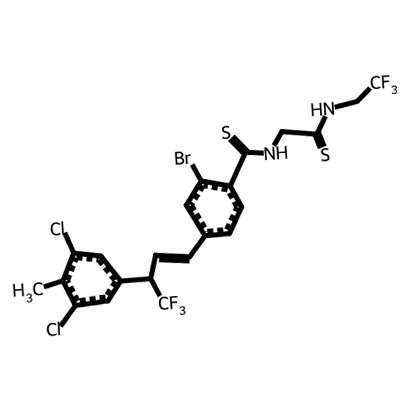 Cc1c(Cl)cc(C(/C=C/c2ccc(C(=S)NCC(=S)NCC(F)(F)F)c(Br)c2)C(F)(F)F)cc1Cl